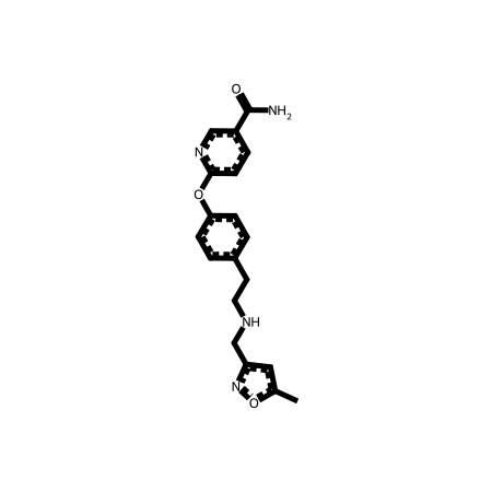 Cc1cc(CNCCc2ccc(Oc3ccc(C(N)=O)cn3)cc2)no1